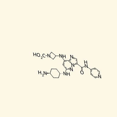 N[C@H]1CC[C@H](Nc2cc(NC3CN(C(=O)O)C3)c3ncc(C(=O)Nc4ccncc4)n3n2)CC1